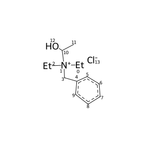 CC[N+](CC)(Cc1ccccc1)C(C)O.[Cl-]